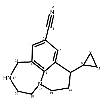 N#Cc1cc2c3c(c1)C(C1CC1)CCN3CCNC2